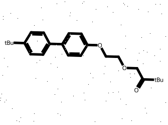 CC(C)(C)C(=O)COCCOc1ccc(-c2ccc(C(C)(C)C)cc2)cc1